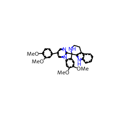 COc1ccc(-c2cnc(C3(c4ccc(OC)c(OC)c4)NCCc4c3[nH]c3ccccc43)nc2)cc1OC